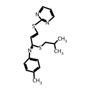 Cc1ccc(N=C(C=CSc2ncccn2)SCC(C)C)cc1